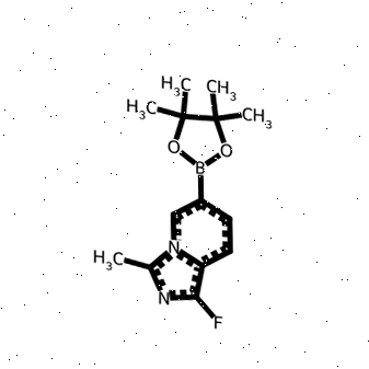 Cc1nc(F)c2ccc(B3OC(C)(C)C(C)(C)O3)cn12